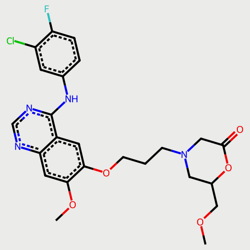 COCC1CN(CCCOc2cc3c(Nc4ccc(F)c(Cl)c4)ncnc3cc2OC)CC(=O)O1